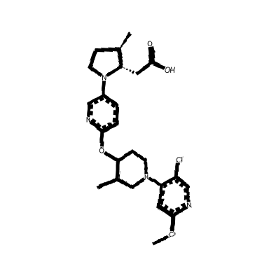 COc1cc(N2CCC(Oc3ccc(N4CC[C@@H](C)[C@@H]4CC(=O)O)cn3)C(C)C2)c(Cl)cn1